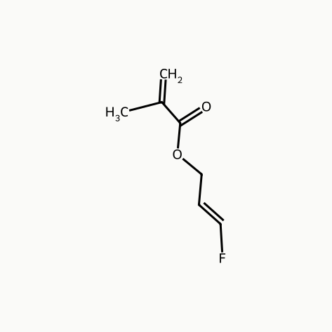 C=C(C)C(=O)OCC=CF